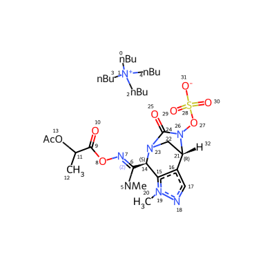 CCCC[N+](CCCC)(CCCC)CCCC.CN/C(=N\OC(=O)C(C)OC(C)=O)[C@@H]1c2c(cnn2C)[C@@H]2CN1C(=O)N2OS(=O)(=O)[O-]